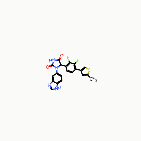 O=C1NC(=O)N(c2ccc3[nH]cnc3c2)C1c1ccc(-c2csc(C(F)(F)F)c2)c(F)c1F